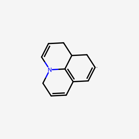 [C]1=CC2=C3C(C1)CC=CN3CC=C2